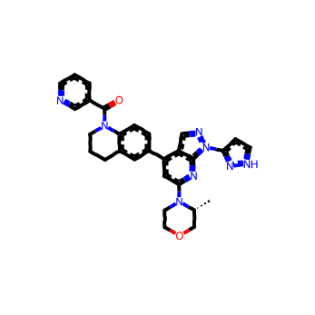 C[C@@H]1COCCN1c1cc(-c2ccc3c(c2)CCCN3C(=O)c2cccnc2)c2cnn(-c3cc[nH]n3)c2n1